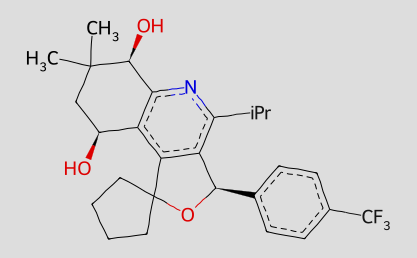 CC(C)c1nc2c(c3c1[C@@H](c1ccc(C(F)(F)F)cc1)OC31CCCC1)[C@@H](O)CC(C)(C)[C@H]2O